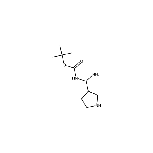 CC(C)(C)OC(=O)NC(N)C1CCNC1